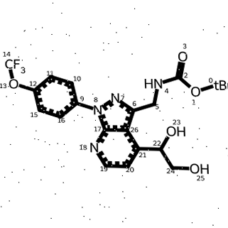 CC(C)(C)OC(=O)NCc1nn(-c2ccc(OC(F)(F)F)cc2)c2nccc(C(O)CO)c12